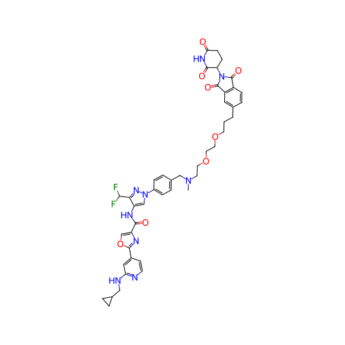 CN(CCOCCOCCCc1ccc2c(c1)C(=O)N(C1CCC(=O)NC1=O)C2=O)Cc1ccc(-n2cc(NC(=O)c3coc(-c4ccnc(NCC5CC5)c4)n3)c(C(F)F)n2)cc1